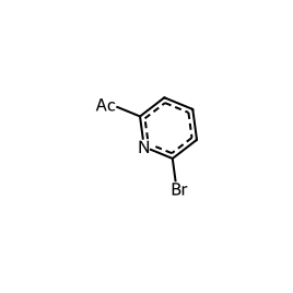 [CH2]C(=O)c1cccc(Br)n1